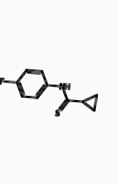 Fc1ccc(NC(=S)C2CC2)cc1